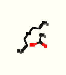 C=C[CH2][Pd][CH2]C=C.CC(=O)O